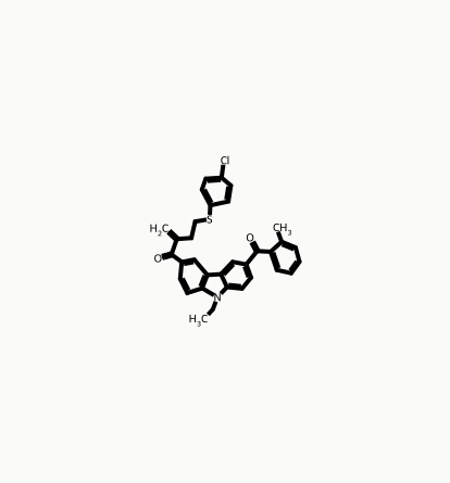 C=C(CCSc1ccc(Cl)cc1)C(=O)c1ccc2c(c1)c1cc(C(=O)c3ccccc3C)ccc1n2CC